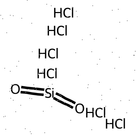 Cl.Cl.Cl.Cl.Cl.Cl.O=[Si]=O